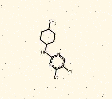 CCc1nc(NC2CCC(N)CC2)ncc1Cl